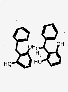 CC(c1ccccc1)c1c(O)cccc1O.Oc1cccc(O)c1Cc1ccccc1